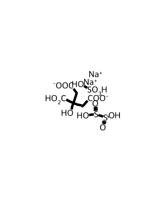 O=C([O-])CC(O)(CC(=O)[O-])C(=O)O.O=S(=O)(O)O.O=S(O)S(=O)O.[Na+].[Na+]